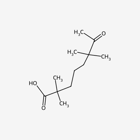 CC(=O)C(C)(C)CCCC(C)(C)C(=O)O